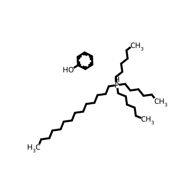 CCCCCCCCCCCCCC[PH](CCCCCC)(CCCCCC)CCCCCC.Oc1ccccc1